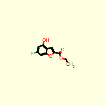 CCOC(=O)c1cc2c(O)cc(F)cc2o1